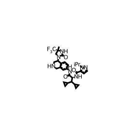 CC(C)n1nccc1C(=O)N[C@H](C(=O)Nc1ccc2c(c1)CNCC2N1C[C@@](C)(C(F)(F)F)NC1=O)C(C1CC1)C1CC1